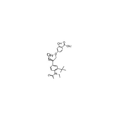 CCN(C(C)=O)c1ccc(/C(COc2ccc(C(=O)O)c(O)c2)=N/O)cc1C(C)(C)C